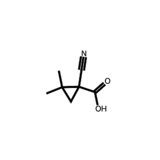 CC1(C)CC1(C#N)C(=O)O